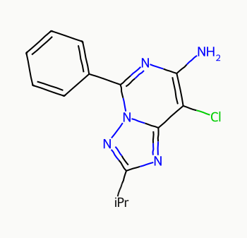 CC(C)c1nc2c(Cl)c(N)nc(-c3ccccc3)n2n1